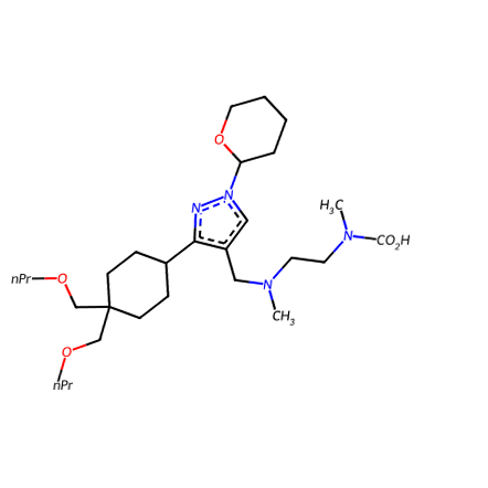 CCCOCC1(COCCC)CCC(c2nn(C3CCCCO3)cc2CN(C)CCN(C)C(=O)O)CC1